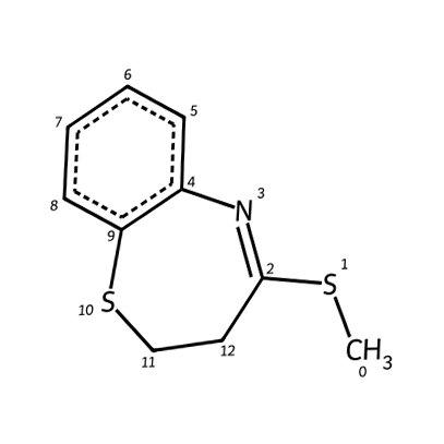 CSC1=Nc2ccccc2SCC1